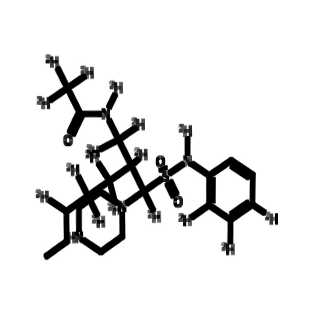 [2H]c1ccc(N([2H])S(=O)(=O)C([2H])(N2CCNCC2)C([2H])(C([2H])([2H])N([2H])C(=O)C([2H])([2H])[2H])C([2H])([2H])C([2H])([2H])C([2H])CC)c([2H])c1[2H]